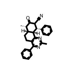 Cc1nc(-c2ccccc2)c2c(n1)[C@@H]1[C@H](CC2)[C@H](C)C(=O)C(C#N)[C@@H]1c1ccccc1